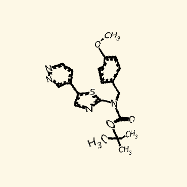 COc1ccc(CN(C(=O)OC(C)(C)C)c2ncc(-c3ccnnc3)s2)cc1